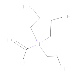 C=C(C)[N+](CCC)(CCC)CCC